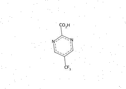 O=C(O)c1ncc(C(F)(F)F)cn1